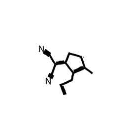 C=CCC1=C(C)[CH]CC1=C(C#N)C#N